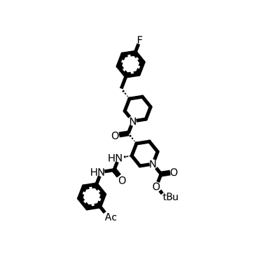 CC(=O)c1cccc(NC(=O)N[C@H]2CN(C(=O)OC(C)(C)C)CC[C@H]2C(=O)N2CCC[C@@H](Cc3ccc(F)cc3)C2)c1